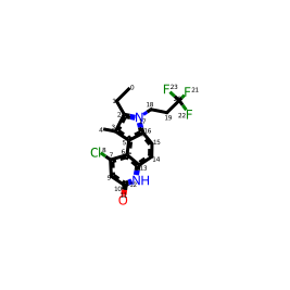 CCc1c(C)c2c3c(Cl)cc(=O)[nH]c3ccc2n1CCC(F)(F)F